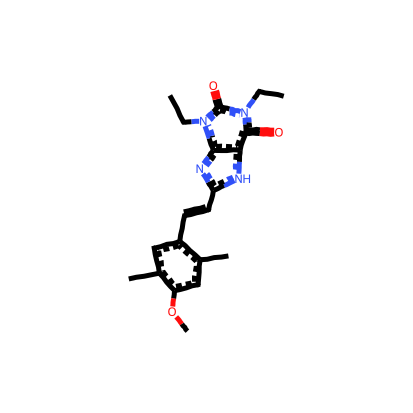 CCn1c(=O)c2[nH]c(C=Cc3cc(C)c(OC)cc3C)nc2n(CC)c1=O